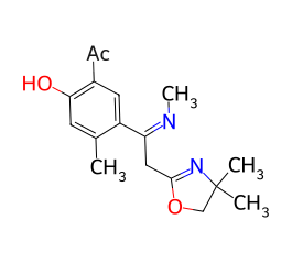 C/N=C(/CC1=NC(C)(C)CO1)c1cc(C(C)=O)c(O)cc1C